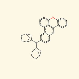 c1ccc2c(c1)Oc1cccc3c1c-2cc1ccc(B(C2CC4CCC2C4)C2CC4CCC2C4)cc13